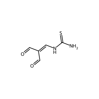 NC(=S)NC=C(C=O)C=O